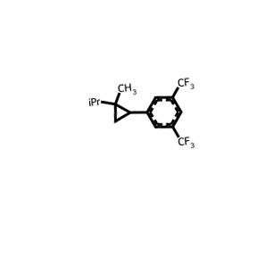 CC(C)C1(C)CC1c1cc(C(F)(F)F)cc(C(F)(F)F)c1